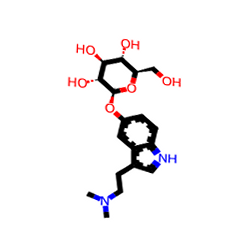 CN(C)CCc1c[nH]c2ccc(O[C@@H]3O[C@H](CO)[C@@H](O)[C@H](O)[C@H]3O)cc12